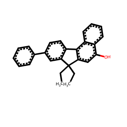 CCC1(CC)c2cc(-c3ccccc3)ccc2-c2c1cc(O)c1ccccc21